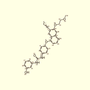 [C-]#[N+]c1cc2c(Oc3ccc(NC(=O)Nc4cccc(O)c4)cc3)ccnc2cc1OCCOC